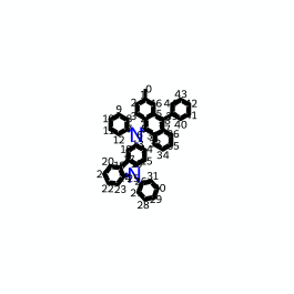 Cc1ccc2c(N(c3ccccc3)c3ccc4c(c3)c3ccccc3n4-c3ccccc3)c3ccccc3c(-c3ccccc3)c2c1